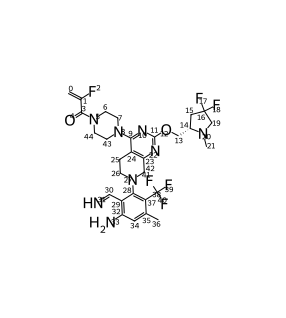 C=C(F)C(=O)N1CCN(c2nc(OC[C@@H]3CC(F)(F)CN3C)nc3c2CCN(c2c(C=N)c(N)cc(C)c2C(F)(F)F)C3)CC1